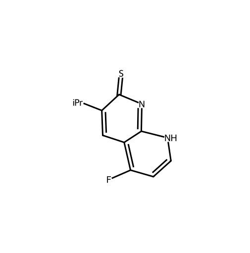 CC(C)c1cc2c(F)cc[nH]c-2nc1=S